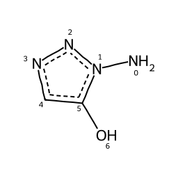 Nn1nncc1O